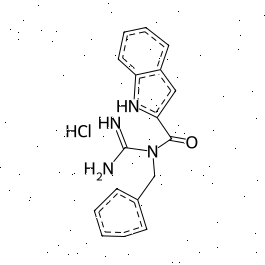 Cl.N=C(N)N(Cc1ccccc1)C(=O)c1cc2ccccc2[nH]1